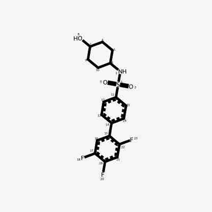 O=S(=O)(NC1CCC(O)CC1)c1ccc(-c2cc(F)c(F)cc2F)cc1